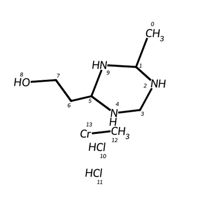 CC1NCNC(CCO)N1.Cl.Cl.[CH3][Cr]